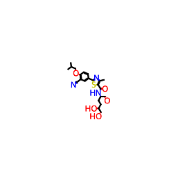 Cc1nc(-c2ccc(OCC(C)C)c(C#N)c2)sc1C(=O)NC(C=O)CCC(O)CO